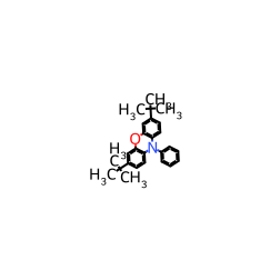 CC(C)(C)c1ccc2c(c1)Oc1cc(C(C)(C)C)ccc1N2c1ccccc1